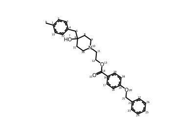 Cc1ccc(CC2(O)CCN(CCOC(=O)c3ccc(OCc4ccccc4)cc3)CC2)cc1